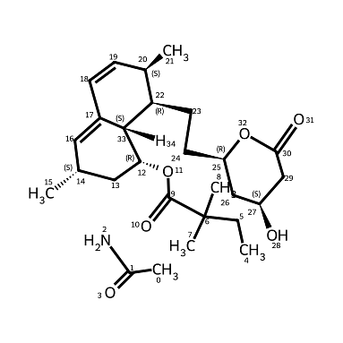 CC(N)=O.CCC(C)(C)C(=O)O[C@@H]1C[C@H](C)C=C2C=C[C@@H](C)[C@@H](CC[C@@H]3C[C@H](O)CC(=O)O3)[C@@H]21